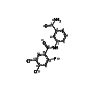 NC(=O)c1cccc(NC(=O)c2cc(Cl)c(Cl)cc2F)c1